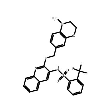 CN1CCOc2cc(COc3nc4ccccc4cc3NS(=O)(=O)c3ccccc3C(F)(F)F)ccc21